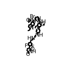 CCc1ccc2c(P(C)(C)=O)c(Nc3nc(Nc4cc(CC)c(N5CCC(NCCNCCc6cc(F)c(C7CCC(=O)NC7=O)c(F)c6)CC5)cc4OC)ncc3Br)ccc2n1